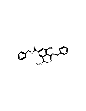 CSC(C)c1cc(C(=O)OCc2ccccc2)cc(C(C)(C)C)c1C(=O)OCc1ccccc1